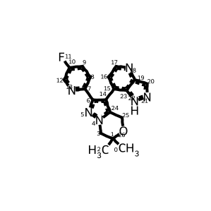 CC1(C)Cn2nc(-c3ccc(F)cn3)c(-c3ccnc4cn[nH]c34)c2CO1